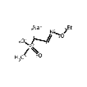 CCON=CCP(C)(=O)[O-].[Na+]